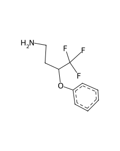 NCCC(Oc1ccccc1)C(F)(F)F